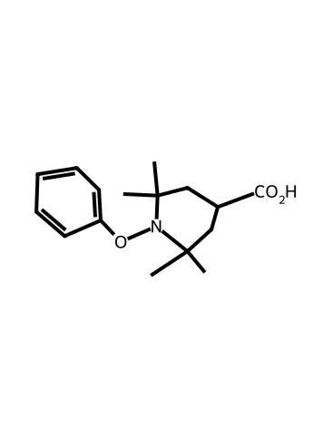 CC1(C)CC(C(=O)O)CC(C)(C)N1Oc1ccccc1